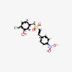 O=[N+]([O-])c1ccc(C=CS(=O)(=O)Cc2ccc(Cl)c(O)c2)cc1